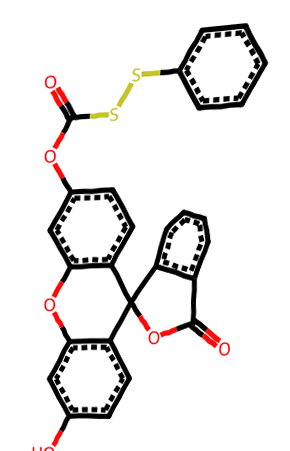 O=C(Oc1ccc2c(c1)Oc1cc(O)ccc1C21OC(=O)c2ccccc21)SSc1ccccc1